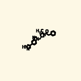 C[C@@H]1C[C@H](Cn2cnc3cc(-c4cn[nH]c4)ccc32)CN1C(=O)Cc1ccccc1